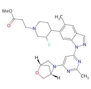 COC(=O)CCN1CCC(c2cc3c(cnn3-c3cc(N4C[C@@H]5C[C@H]4CO5)nc(C)n3)cc2C)C(F)C1